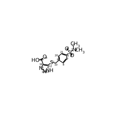 CN(C)S(=O)(=O)c1ccc(CSc2[nH]nnc2C(=O)O)cc1